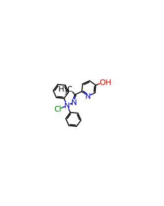 CC(=N[N+](Cl)(c1ccccc1)c1ccccc1)c1ccc(O)cn1